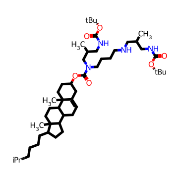 CC(C)CCCCC1CCC2C3CC=C4CC(OC(=O)N(CCCCNCC(C)CNC(=O)OC(C)(C)C)CC(C)CNC(=O)OC(C)(C)C)CCC4(C)C3CCC12C